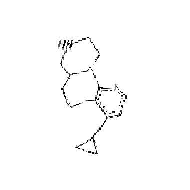 c1cc(C2CC2)c2c(n1)N1CCNCC1CC2